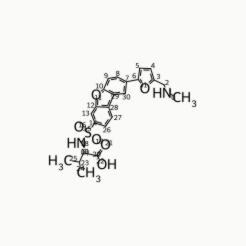 CNCc1ccc(-c2ccc3oc4cc(S(=O)(=O)N[C@H](C(=O)O)C(C)C)ccc4c3c2)o1